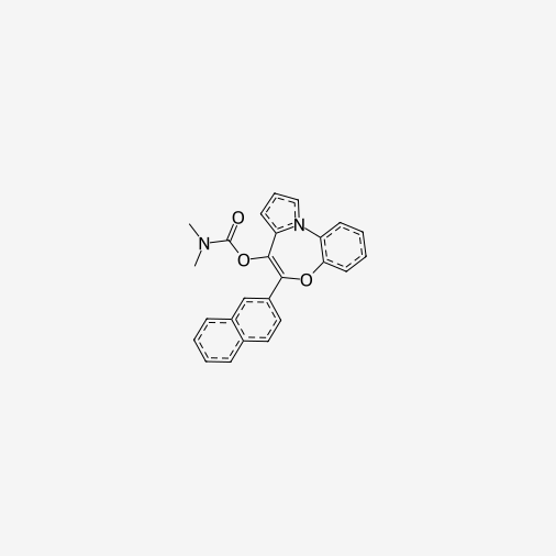 CN(C)C(=O)OC1=C(c2ccc3ccccc3c2)Oc2ccccc2-n2cccc21